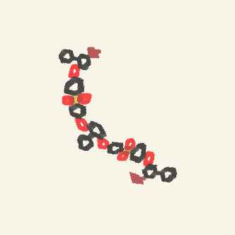 O=S(=O)(c1ccc(Oc2cc(Br)cc(-c3ccccc3)c2)cc1)c1ccc(Oc2cccc(Oc3ccc(S(=O)(=O)c4ccc(Oc5ccc(Br)cc5-c5ccccc5)cc4)cc3)c2-c2ccccc2)cc1